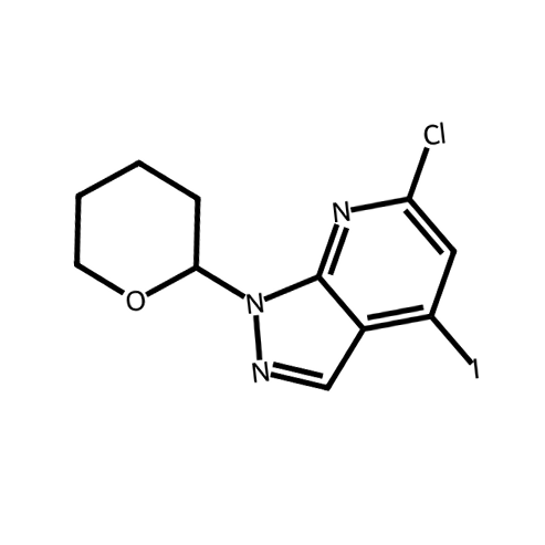 Clc1cc(I)c2cnn(C3CCCCO3)c2n1